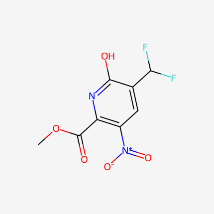 COC(=O)c1nc(O)c(C(F)F)cc1[N+](=O)[O-]